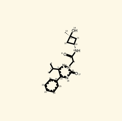 CC(C)c1nn(CC(=O)N[C@H]2C[C@](C)(O)C2)c(=O)nc1-c1ccccc1